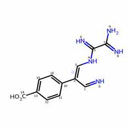 N=C/C(=C\NC(=N)C(=N)N)c1ccc(C(=O)O)cc1